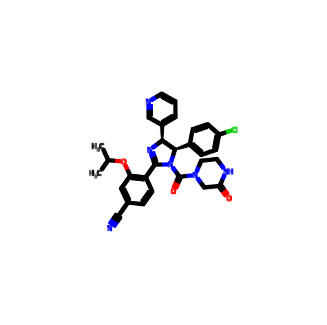 CC(C)Oc1cc(C#N)ccc1C1=N[C@@H](c2cccnc2)[C@@H](c2ccc(Cl)cc2)N1C(=O)N1CCNC(=O)C1